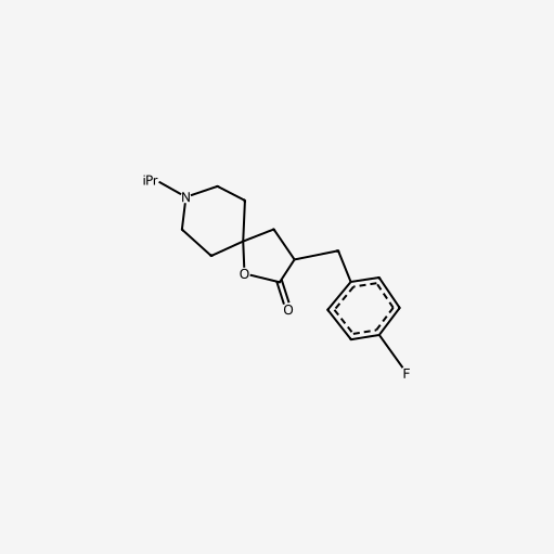 CC(C)N1CCC2(CC1)CC(Cc1ccc(F)cc1)C(=O)O2